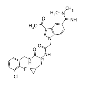 CC(=O)c1cn(CC(=O)N[C@@H](CC2CC2)C(=O)NCc2cccc(Cl)c2F)c2ccc(C(=N)N(C)C)cc12